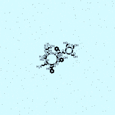 CO[C@H](C)[C@H](NC(=O)[C@@H]1CSSC[C@H](NC(=O)[C@H](Cc2ccccc2)NC(=O)CN2CCN(CC(=O)O)CCN(CC(=O)O)CCN(CC(=O)O)CC2)C(=O)N[C@H](Cc2ccc(O)cc2)C(=O)N[C@@H](Cc2c[nH]c3ccccc23)C(=O)N[C@H](CCCCN)C(=O)N[C@H]([C@@H](C)O)C(=O)N1)C(=O)O